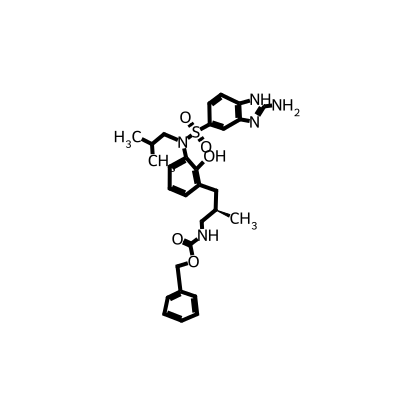 CC(C)CN(c1cccc(C[C@@H](C)CNC(=O)OCc2ccccc2)c1O)S(=O)(=O)c1ccc2[nH]c(N)nc2c1